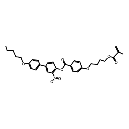 C=C(C)C(=O)OCCCCOc1ccc(C(=O)Oc2ccc(-c3ccc(OCCCCC)cc3)cc2[N+](=O)[O-])cc1